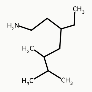 CCC(CCN)CC(C)C(C)C